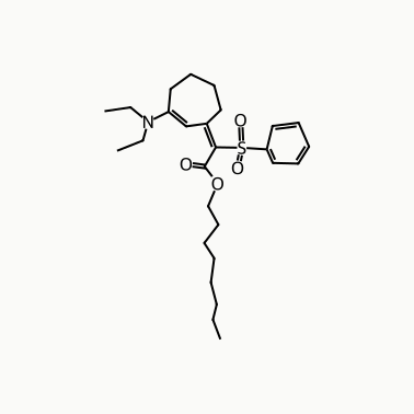 CCCCCCCCOC(=O)/C(=C1\C=C(N(CC)CC)CCCC1)S(=O)(=O)c1ccccc1